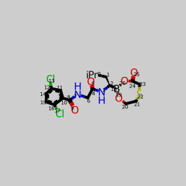 CC(C)C[C@H](NC(=O)CNC(=O)c1cc(Cl)ccc1Cl)B1OCCSCC(=O)O1